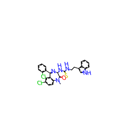 CN1C(=O)C(NC(=S)NCCc2c[nH]c3ccccc23)N=C(c2ccccc2Cl)c2cc(Cl)ccc21